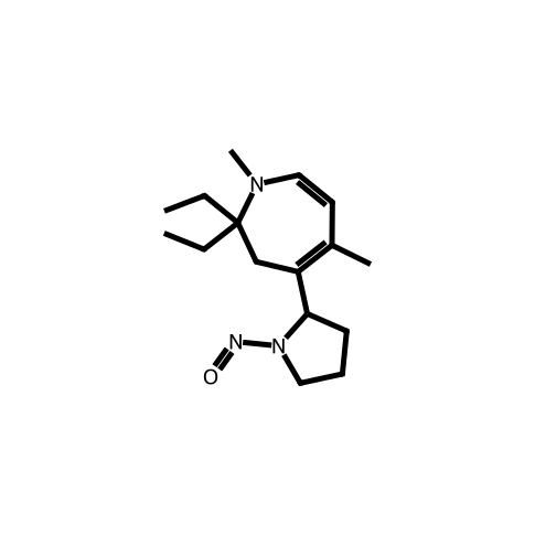 CCC1(CC)CC(C2CCCN2N=O)=C(C)C=CN1C